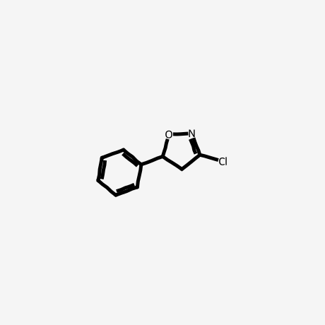 ClC1=NOC(c2ccccc2)C1